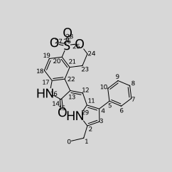 CCc1cc(-c2ccccc2)c(/C=C2\C(=O)Nc3ccc4c(c32)CCOS4(=O)=O)[nH]1